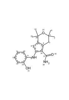 CC1(C)Cc2c(sc(Nc3ccccc3O)c2C(N)=O)C(C)(C)O1